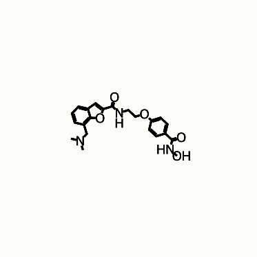 CN(C)Cc1cccc2cc(C(=O)NCCOc3ccc(C(=O)NO)cc3)oc12